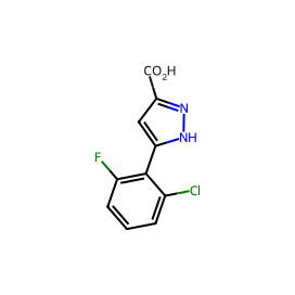 O=C(O)c1cc(-c2c(F)cccc2Cl)[nH]n1